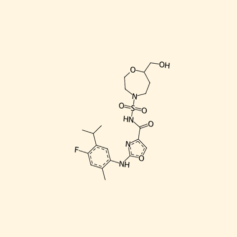 Cc1cc(F)c(C(C)C)cc1Nc1nc(C(=O)NS(=O)(=O)N2CCOC(CO)CC2)co1